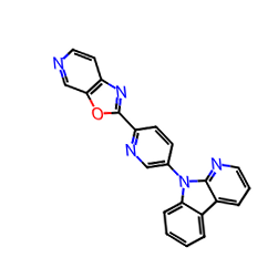 c1ccc2c(c1)c1cccnc1n2-c1ccc(-c2nc3ccncc3o2)nc1